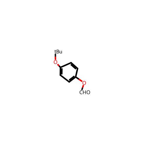 CC(C)(C)Oc1ccc(OC=O)cc1